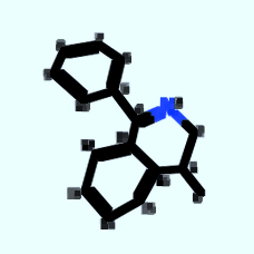 CC1CN=C(c2ccccc2)c2ccccc21